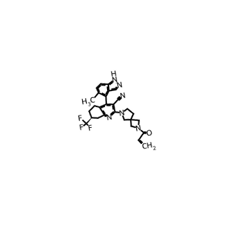 C=CC(=O)N1CC2(CCN(c3nc4c(c(-c5c(C)ccc6[nH]ncc56)c3C#N)CC[C@H](C(F)(F)F)C4)C2)C1